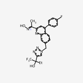 CCC(O)(c1cn(Cc2ccc3c(-c4ccc(F)cc4)cc(/C(C)=N/O)nc3c2)nn1)C(F)(F)F